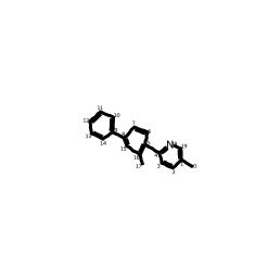 Cc1ccc(-c2ccc(-c3ccccc3)cc2C)nc1